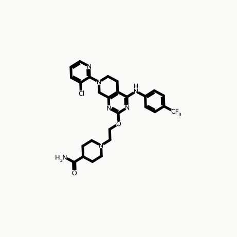 NC(=O)C1CCN(CCOc2nc3c(c(Nc4ccc(C(F)(F)F)cc4)n2)CCN(c2ncccc2Cl)C3)CC1